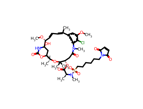 COc1cc2cc(c1Cl)N(C)C(=O)C[C@H](OC(=O)[C@H](C)N(C)S(=O)(=O)CCCCCCN1C(=O)C=CC1=O)C(C)(C)O[C@H](C)[C@@H]1C[C@@](O)(NC(=O)O1)[C@H](OC)/C=C/C=C/2C